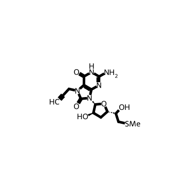 C#CCn1c(=O)n([C@@H]2O[C@H](C(O)CSC)C[C@H]2O)c2nc(N)[nH]c(=O)c21